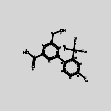 O=C(O)c1cc(CO)cc(-c2ccc(F)cc2C(F)(F)F)c1